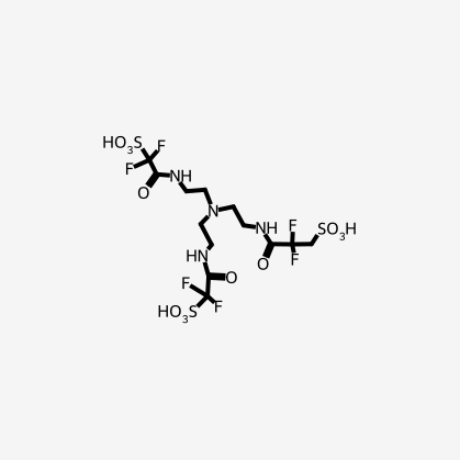 O=C(NCCN(CCNC(=O)C(F)(F)S(=O)(=O)O)CCNC(=O)C(F)(F)S(=O)(=O)O)C(F)(F)CS(=O)(=O)O